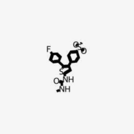 CNC(=O)Nc1cc(-c2ccc(S(C)(=O)=O)cc2)c(-c2ccc(F)cc2)s1